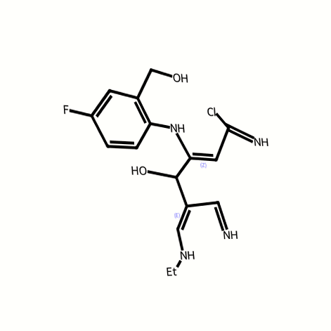 CCN/C=C(\C=N)C(O)/C(=C/C(=N)Cl)Nc1ccc(F)cc1CO